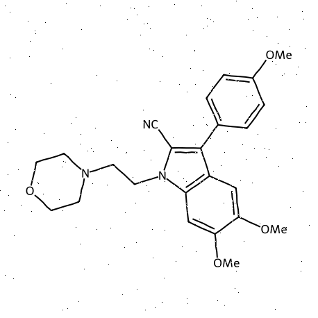 COc1ccc(-c2c(C#N)n(CCN3CCOCC3)c3cc(OC)c(OC)cc23)cc1